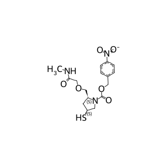 CNC(=O)COC[C@@H]1C[C@H](S)CN1C(=O)OCc1ccc([N+](=O)[O-])cc1